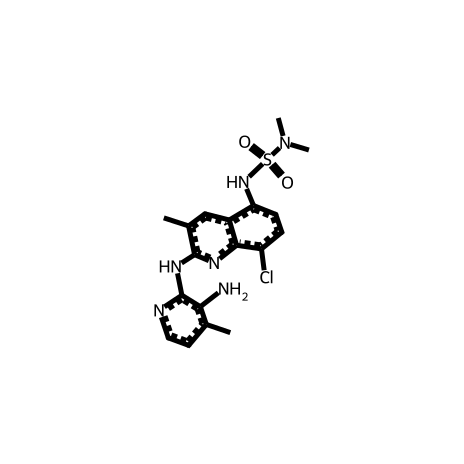 Cc1cc2c(NS(=O)(=O)N(C)C)ccc(Cl)c2nc1Nc1nccc(C)c1N